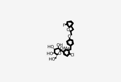 COC1(c2ccc(Cl)c(Cc3ccc(OCC4Cc5cccc(F)c5O4)cc3)c2)O[C@H](CO)[C@@H](O)[C@H](O)[C@H]1O